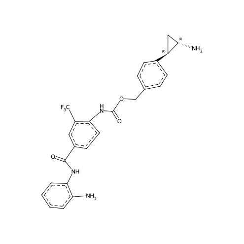 Nc1ccccc1NC(=O)c1ccc(NC(=O)OCc2ccc([C@H]3C[C@@H]3N)cc2)c(C(F)(F)F)c1